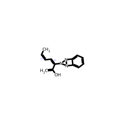 C=C(O)/C(=C\C=C/C)n1n2c3ccccc3n12